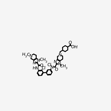 CN1CCc2c(nc(C(=O)Nc3cccc(-c4cccc(N(Cl)C(=O)c5nc6c(n5C)CCN(CC5CCC(C(=O)O)CC5)C6)c4)c3Cl)n2C)C1